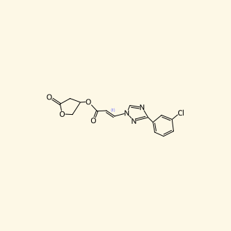 O=C(/C=C/n1cnc(-c2cccc(Cl)c2)n1)OC1COC(=O)C1